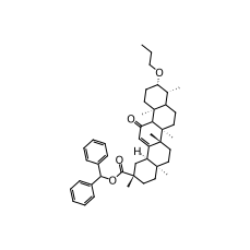 CCCO[C@H]1CC[C@@]2(C)C(CC[C@]3(C)C2C(=O)C=C2[C@@H]4C[C@@](C)(C(=O)OC(c5ccccc5)c5ccccc5)CC[C@]4(C)CC[C@]23C)[C@H]1C